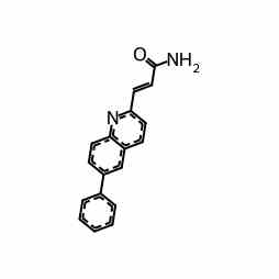 NC(=O)C=Cc1ccc2cc(-c3ccccc3)ccc2n1